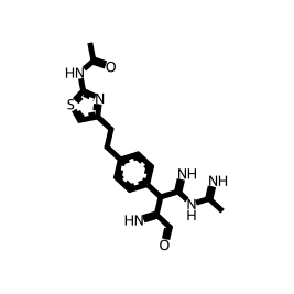 CC(=N)NC(=N)C(C(=N)C=O)c1ccc(CCc2csc(NC(C)=O)n2)cc1